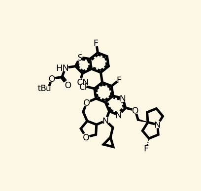 CC(C)(C)OC(=O)Nc1sc2c(F)ccc(-c3c(Cl)c4c5c(nc(OC[C@@]67CCCN6C[C@H](F)C7)nc5c3F)N(CC3CC3)C3COCC3CO4)c2c1C#N